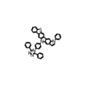 c1ccc(-c2nnc(-c3ccccc3)n2-c2ccc(-n3c4cc5ccn(-c6ccccc6)c5cc4c4cc5sc6ccccc6c5cc43)cc2)cc1